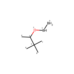 BBOC(C)C(C)(C)C